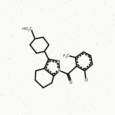 O=C(O)C1CCC(c2nn(C(=O)c3c(Cl)cccc3C(F)(F)F)c3c2CCCC3)CC1